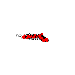 CCCCCCCCC1(CCCCCCCC)c2ccccc2-c2ccc(-c3ccc4c(c3)C(CCCCCCCC)(CCCCCCCC)c3cc(-c5ccc6c(c5)C(CCCCCCCC)(CCCCCCCC)c5cc(N7CC8C(C7)C7C9C=CC%10C%11CCC%12c%13c%11c%11c%14c%15c%13C%13C%12C=CC%12C%16C=CC%17C%18C%19=C(C%15=C(C%16%18)C%12%13)C%14=C(C9C%11%10)C7C%19C%178)ccc5-6)ccc3-4)cc21